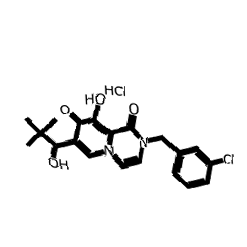 CC(C)(C)C(O)c1cn2ccn(Cc3cccc(Cl)c3)c(=O)c2c(O)c1=O.Cl